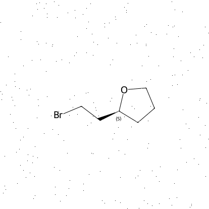 BrCC[C@@H]1CCCO1